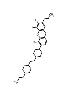 CCCc1cc2c(c(F)c1F)Oc1c(ccc(C3CCC(CCC4CCC(CCC)CC4)CC3)c1F)C2